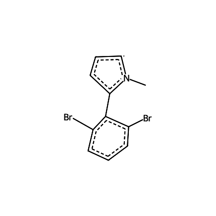 Cn1[c]ccc1-c1c(Br)cccc1Br